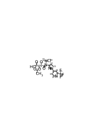 CC(=O)O[C@@H](C(=O)O)C1OCCN(c2ccn(-c3ccnc(C(F)(F)F)c3)n2)C1=O.Cl